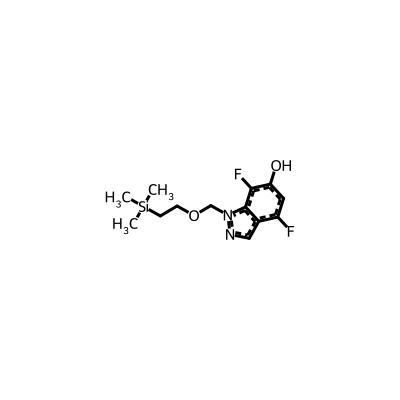 C[Si](C)(C)CCOCn1ncc2c(F)cc(O)c(F)c21